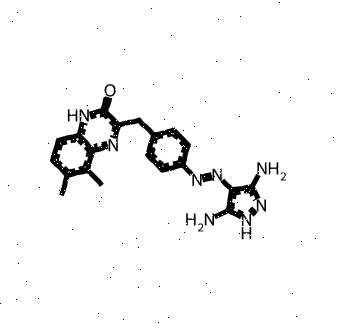 Cc1ccc2[nH]c(=O)c(Cc3ccc(/N=N/c4c(N)n[nH]c4N)cc3)nc2c1C